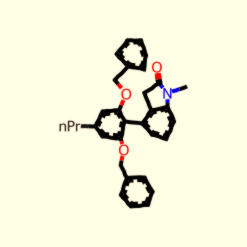 CCCc1cc(OCc2ccccc2)c(-c2cccc3c2CC(=O)N3C)c(OCc2ccccc2)c1